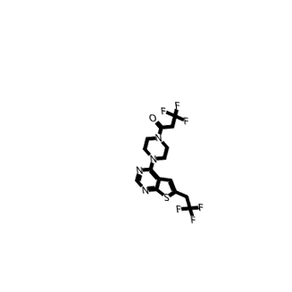 O=C(CC(F)(F)F)N1CCN(c2ncnc3sc(CC(F)(F)F)cc23)CC1